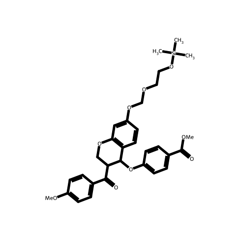 COC(=O)c1ccc(OC2c3ccc(OCOCCO[Si](C)(C)C)cc3OCC2C(=O)c2ccc(OC)cc2)cc1